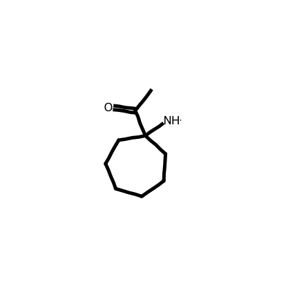 CC(=O)C1([NH])CCCCCC1